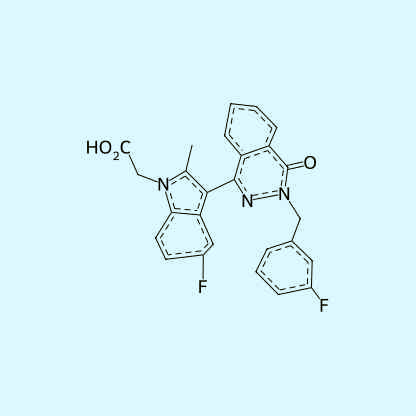 Cc1c(-c2nn(Cc3cccc(F)c3)c(=O)c3ccccc23)c2cc(F)ccc2n1CC(=O)O